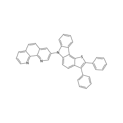 c1ccc(-c2sc3c(ccc4c3c3ccccc3n4-c3cnc4c(ccc5cccnc54)c3)c2-c2ccccc2)cc1